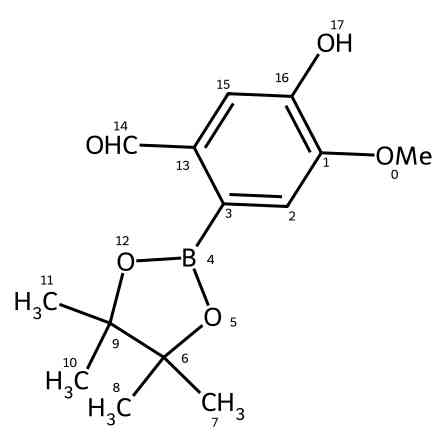 COc1cc(B2OC(C)(C)C(C)(C)O2)c(C=O)cc1O